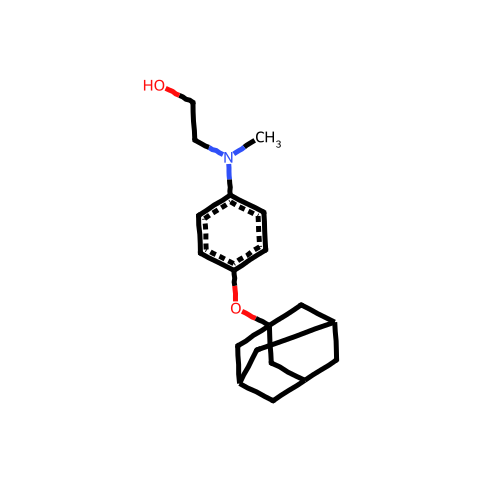 CN(CCO)c1ccc(OC23CC4CC(CC(C4)C2)C3)cc1